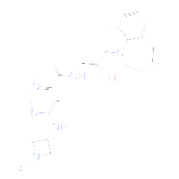 CC(=O)N1CC(Nc2cc(C(=O)NCC(O)CN3CCCCc4ccccc43)ncn2)C1